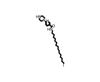 O=C(NCCCCCCCCCCCCCCCCCI)c1ccc(N2CCNCC2)nc1